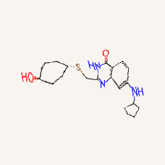 O=c1[nH]c(CS[C@H]2CC[C@H](O)CC2)nc2cc(NC3CCCC3)ccc12